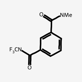 CNC(=O)c1cccc(C(=O)NC(F)(F)F)c1